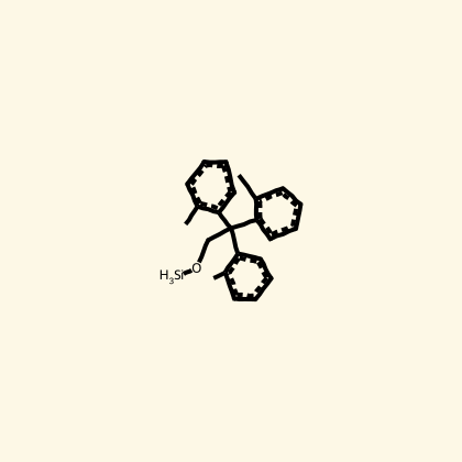 Cc1ccccc1C(CO[SiH3])(c1ccccc1C)c1ccccc1C